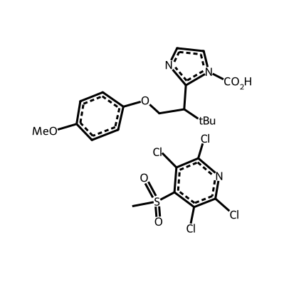 COc1ccc(OCC(c2nccn2C(=O)O)C(C)(C)C)cc1.CS(=O)(=O)c1c(Cl)c(Cl)nc(Cl)c1Cl